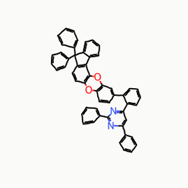 c1ccc(-c2cc(-c3ccccc3-c3ccc4c(c3)Oc3c(ccc5c3-c3ccccc3C5(c3ccccc3)c3ccccc3)O4)nc(-c3ccccc3)n2)cc1